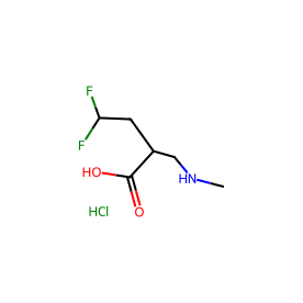 CNCC(CC(F)F)C(=O)O.Cl